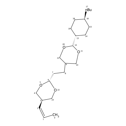 C/C=C\[C@H]1CO[C@H](CCC2COC([C@H]3CC[C@H](CCCC)CC3)OC2)OC1